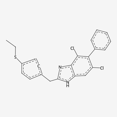 CCSc1ccc(Cc2nc3c(Cl)c(-c4ccccc4)c(Cl)cc3[nH]2)cc1